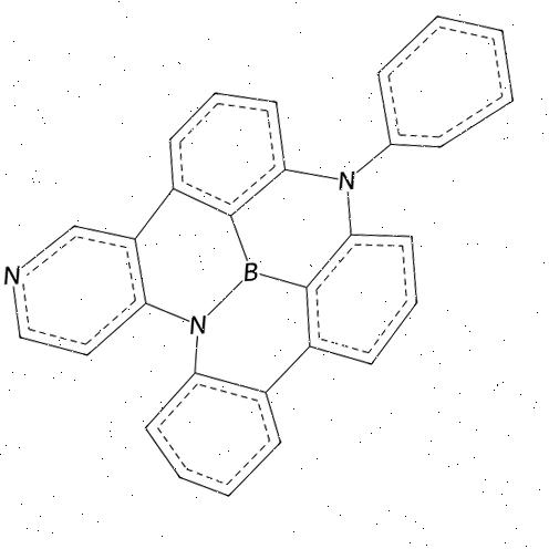 c1ccc(N2c3cccc4c3B3c5c(cccc52)-c2cnccc2N3c2ccccc2-4)cc1